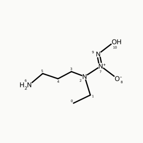 CCN(CCCN)/[N+]([O-])=N/O